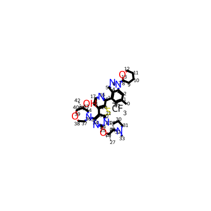 Cc1cc2c(cnn2C2CCCCO2)c(-c2nccc3c2sc2nc(O[C@@H](C)[C@@H]4CCCN4C)nc(N4CCOC[C@@](C)(O)C4)c23)c1C(F)(F)F